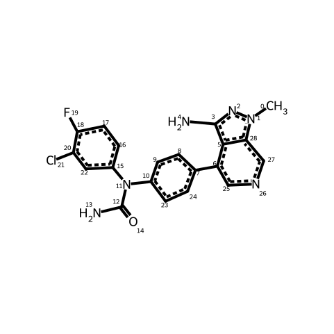 Cn1nc(N)c2c(-c3ccc(N(C(N)=O)c4ccc(F)c(Cl)c4)cc3)cncc21